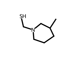 CC1CCCN(CS)C1